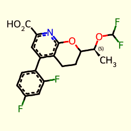 C[C@H](OC(F)F)C1CCc2c(-c3ccc(F)cc3F)cc(C(=O)O)nc2O1